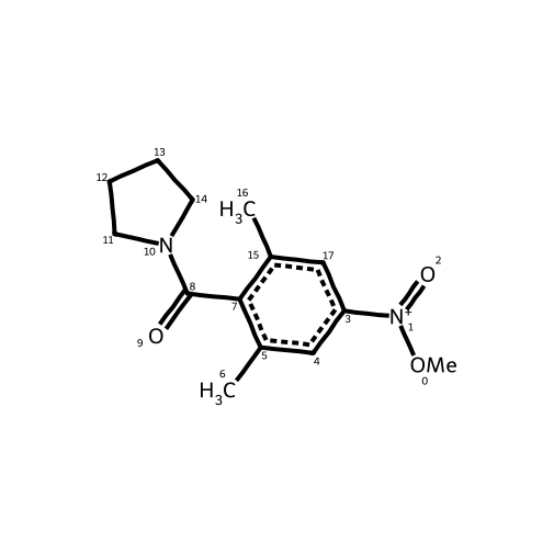 CO[N+](=O)c1cc(C)c(C(=O)N2CCCC2)c(C)c1